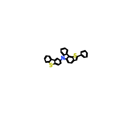 c1ccc(-c2cc3ccc4c(c5ccccc5n4-c4ccc5sc6ccccc6c5c4)c3s2)cc1